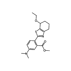 CCOC1CCCc2nc(-c3ccc(N(C)C)cc3C(=O)OC)sc21